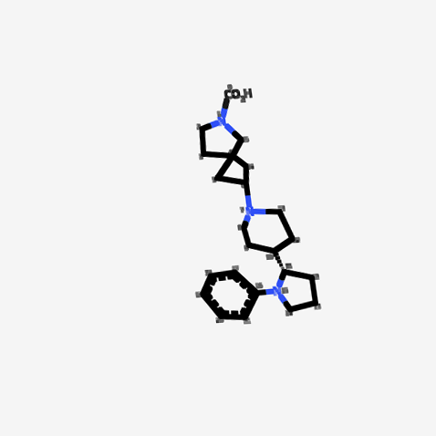 O=C(O)N1CCC2(CC(N3CCC([C@@H]4CCCN4c4ccccc4)CC3)C2)C1